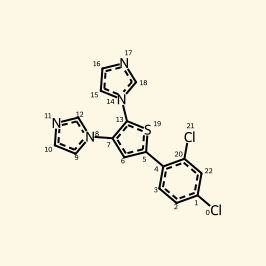 Clc1ccc(-c2cc(-n3ccnc3)c(-n3ccnc3)s2)c(Cl)c1